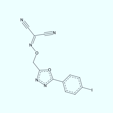 N#CC(C#N)=NOCc1nnc(-c2ccc(I)cc2)o1